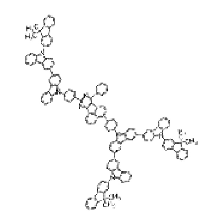 CC1(C)c2ccccc2-c2ccc(-n3c4ccccc4c4cc(-c5ccc6c(c5)c5ccccc5n6-c5ccc(-c6nc(-c7ccccc7)c7c(n6)-c6cccc8c(-c9ccc(-n%10c%11ccc(-c%12ccc%13c(c%12)c%12ccccc%12n%13-c%12ccc%13c(c%12)C(C)(C)c%12ccccc%12-%13)cc%11c%11cc(-c%12ccc%13c(c%12)c%12ccccc%12n%13-c%12ccc%13c(c%12)C(C)(C)c%12ccccc%12-%13)ccc%11%10)cc9)ccc-7c68)cc5)ccc43)cc21